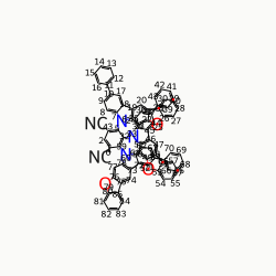 N#Cc1cc(C#N)c(-n2c3ccc(-c4ccccc4)cc3c3cc4c(cc32)oc2ccccc24)c(-n2c3ccc(-c4ccccc4)cc3c3cc4c(cc32)oc2ccccc24)c1-n1c2ccc(-c3ccccc3)cc2c2cc3c(cc21)oc1ccccc13